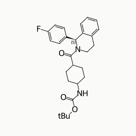 CC(C)(C)OC(=O)NC1CCC(C(=O)N2CCc3ccccc3[C@@H]2c2ccc(F)cc2)CC1